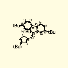 CCCCC1C=C(C(C)(C)C)C=[C]1[Zr][CH]1c2cc(C(C)(C)C)ccc2-c2ccc(C(C)(C)C)cc21